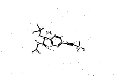 CC(C)OC(=O)[C@@](N)(CC(C)(C)C)c1ccc(C#C[Si](C)(C)C)cc1